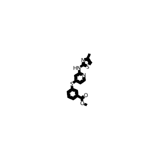 COC(=O)c1cccc(Sc2ccnc(Nc3nc(C)cs3)c2)c1